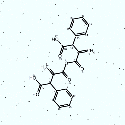 C=C(C(=O)OC(=O)C(=C)C(C(=O)O)c1ccccc1)C(C(=O)O)c1ccccc1